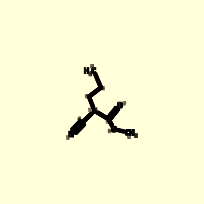 CCCN(C#N)C(=O)OC